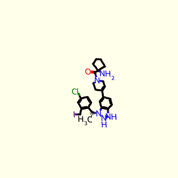 C[C@H](c1ccc(Cl)cc1CI)N1NNc2ccc(C3=CCN(C(=O)C4(N)CCCC4)CC3)cc21